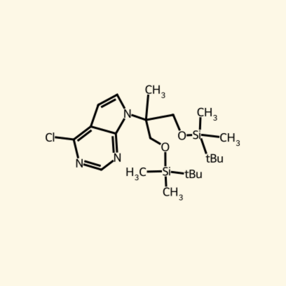 CC(CO[Si](C)(C)C(C)(C)C)(CO[Si](C)(C)C(C)(C)C)n1ccc2c(Cl)ncnc21